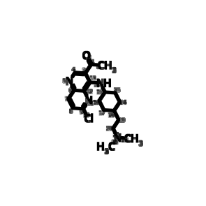 CC(=O)c1cnc2ccc(Cl)nc2c1NC1CCC(CCN(C)C)CC1